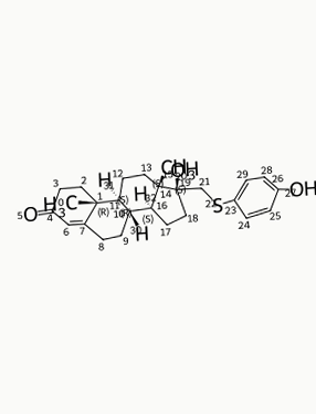 C[C@]12CCC(=O)C=C1CC[C@@H]1[C@@H]2CC[C@@]2(C)[C@H]1CC[C@@]2(O)CSc1ccc(O)cc1